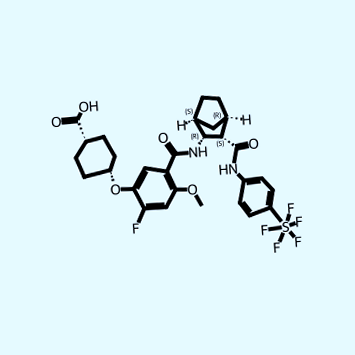 COc1cc(F)c(O[C@H]2CC[C@@H](C(=O)O)CC2)cc1C(=O)N[C@@H]1[C@H]2CC[C@H](C2)[C@@H]1C(=O)Nc1ccc(S(F)(F)(F)(F)F)cc1